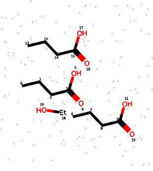 CCCC(=O)O.CCCC(=O)O.CCCC(=O)O.CCO